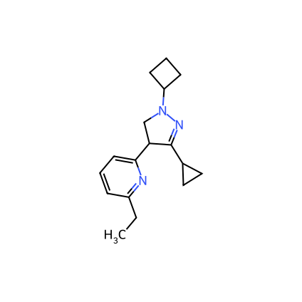 CCc1cccc(C2CN(C3CCC3)N=C2C2CC2)n1